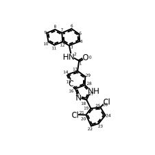 O=C(Nc1cccc2ccccc12)c1ccc2nc(-c3c(Cl)cccc3Cl)[nH]c2c1